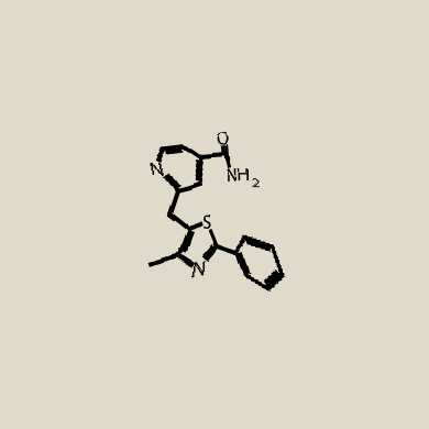 Cc1nc(-c2ccccc2)sc1Cc1cc(C(N)=O)ccn1